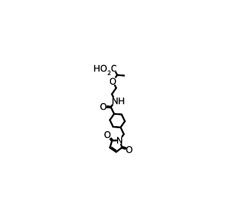 CC(OCCNC(=O)C1CCC(CN2C(=O)C=CC2=O)CC1)C(=O)O